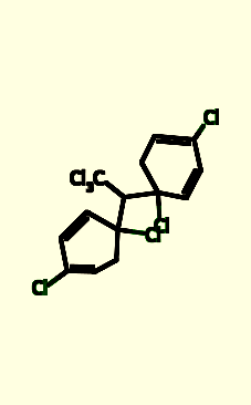 ClC1=CCC(Cl)(C(C(Cl)(Cl)Cl)C2(Cl)C=CC(Cl)=CC2)C=C1